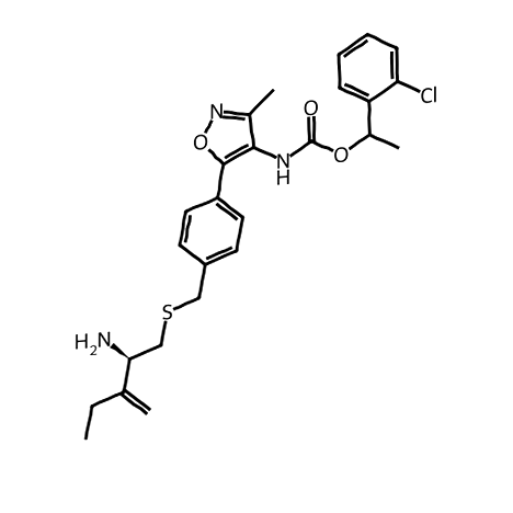 C=C(CC)[C@@H](N)CSCc1ccc(-c2onc(C)c2NC(=O)OC(C)c2ccccc2Cl)cc1